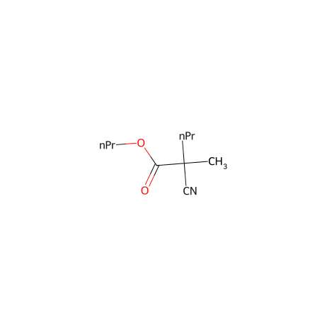 CCCOC(=O)C(C)(C#N)CCC